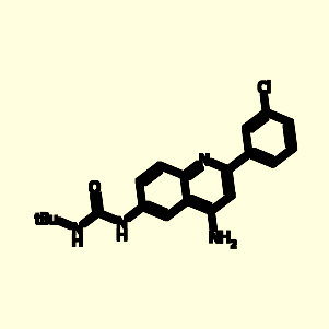 CC(C)(C)NC(=O)Nc1ccc2nc(-c3cccc(Cl)c3)cc(N)c2c1